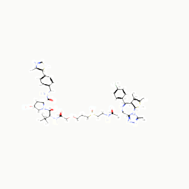 Cc1ncsc1-c1ccc(CNC(=O)[C@@H]2C[C@@H](O)CN2C(=O)[C@@H](NC(=O)COCCC[S+]([O-])CCNC(=O)C[C@@H]2N=C(c3ccc(Cl)cc3)c3c(sc(C)c3C)-n3c(C)nnc32)C(C)(C)C)cc1